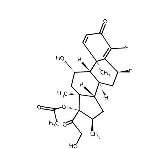 CC(=O)O[C@@]1(C(=O)CO)[C@H](C)C[C@H]2[C@@H]3C[C@H](F)C4=C(F)C(=O)C=C[C@]4(C)[C@H]3[C@@H](O)C[C@@]21C